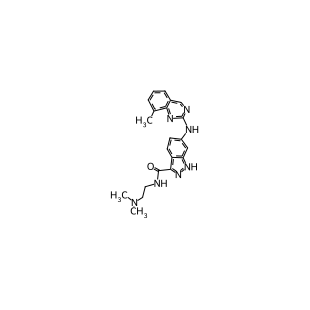 Cc1cccc2cnc(Nc3ccc4c(C(=O)NCCN(C)C)n[nH]c4c3)nc12